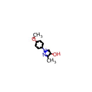 COc1ccc(-n2cc(O)c(C)n2)cc1